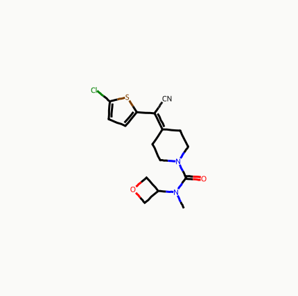 CN(C(=O)N1CCC(=C(C#N)c2ccc(Cl)s2)CC1)C1COC1